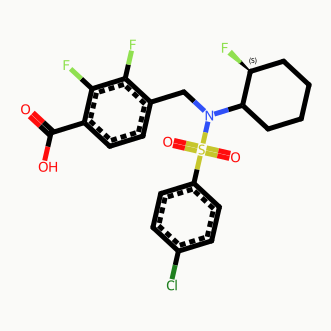 O=C(O)c1ccc(CN(C2CCCC[C@@H]2F)S(=O)(=O)c2ccc(Cl)cc2)c(F)c1F